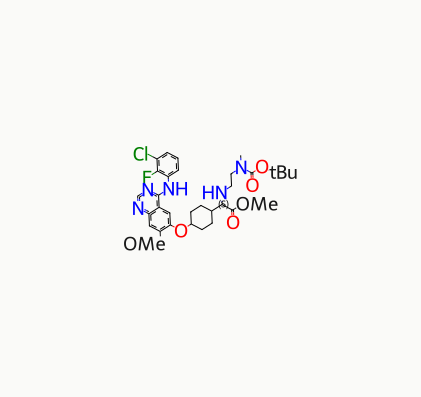 COC(=O)[C@@H](NCCN(C)C(=O)OC(C)(C)C)C1CCC(Oc2cc3c(Nc4cccc(Cl)c4F)ncnc3cc2OC)CC1